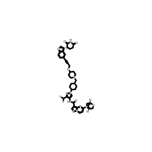 O=C1CC[C@H](c2coc3ccc(C#CCOC4CCN(CC5CCC(n6cc(NC(=O)c7cnn8ccc(N9C[C@H]%10C[C@@H]9CO%10)nc78)c(C(F)F)n6)CC5)CC4)cc23)C(=O)N1